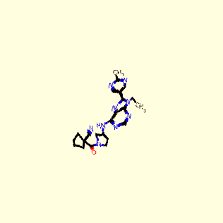 CCn1c(-c2cnc(C)nc2)nc2c(NC3CCN(C(=O)C4(C#N)CCCC4)C3)ncnc21